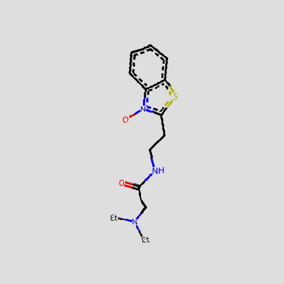 CCN(CC)CC(=O)NCCc1sc2ccccc2[n+]1[O-]